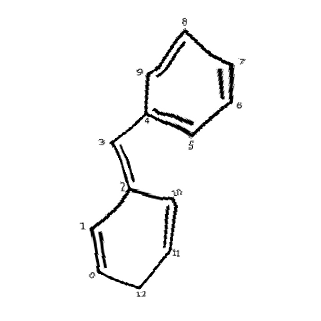 C1=CC(=Cc2ccccc2)C=CC1